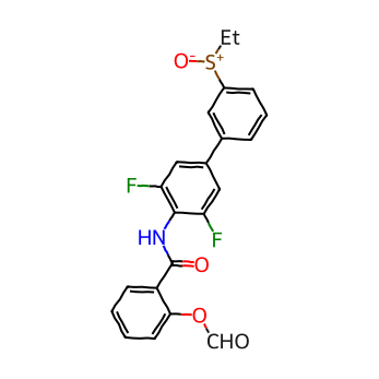 CC[S+]([O-])c1cccc(-c2cc(F)c(NC(=O)c3ccccc3OC=O)c(F)c2)c1